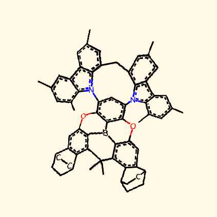 Cc1cc(C)c2c(c1)c1cc(C)cc3c1n2-c1cc(c2c4c1Oc1cc5c(c6c1B4c1c(cc4c(c1C6(C)C)C1CCC4CC1)O2)C1CCC5CC1)-n1c2c(C)cc(C)cc2c2cc(C)cc(c21)C3